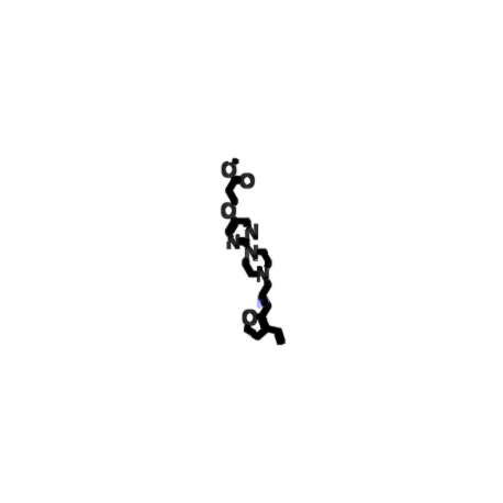 C=CC1=C(/C=C/CN2CCN(c3ncc(OCCC(=O)OC)cn3)CC2)OCC1